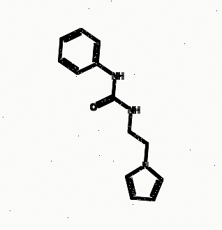 O=C(NCCn1cccc1)Nc1ccccc1